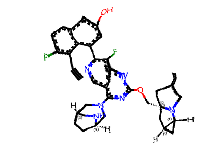 C#Cc1c(F)ccc2cc(O)cc(-c3ncc4c(N5C[C@H]6CC[C@@H](C5)N6)nc(OC[C@]56CC(=C)CN5[C@@H]5C[C@@H]5C6)nc4c3F)c12